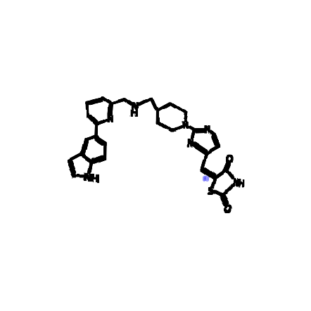 O=C1NC(=O)/C(=C\c2ccnc(N3CCC(CNCc4cccc(-c5ccc6[nH]ccc6c5)n4)CC3)n2)S1